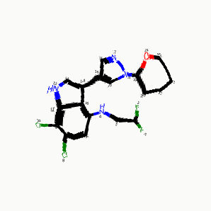 FC(F)CNc1cc(Cl)c(Cl)c2[nH]cc(-c3cnn(C4CCCCO4)c3)c12